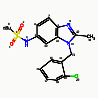 CCCCS(=O)(=O)Nc1ccc2nc(C)n(Cc3ccccc3Cl)c2c1